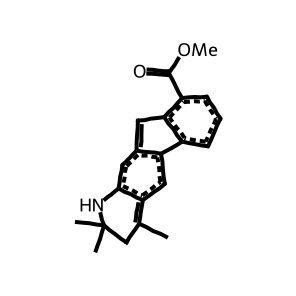 COC(=O)c1cccc2c1C=c1cc3c(cc1-2)=C(C)CC(C)(C)N3